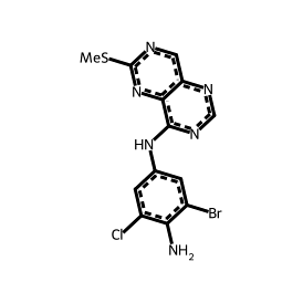 CSc1ncc2ncnc(Nc3cc(Cl)c(N)c(Br)c3)c2n1